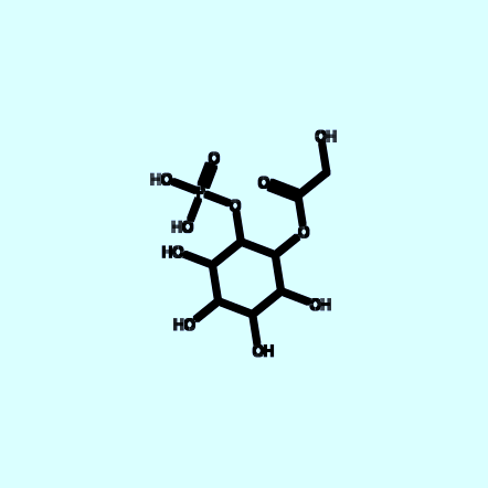 O=C(CO)OC1C(O)C(O)C(O)C(O)C1OP(=O)(O)O